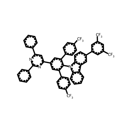 FC(F)(F)c1ccc(-c2cc(-c3cc(-c4ccccc4)nc(-c4ccccc4)n3)cc(-c3ccc(C(F)(F)F)cc3)c2-n2c3ccccc3c3cc(-c4cc(C(F)(F)F)cc(C(F)(F)F)c4)ccc32)cc1